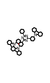 c1ccc(-c2nc(-c3ccc(-n4c5ccccc5c5ccc6c7ccccc7n(-c7ccccc7)c6c54)cc3)nc(-c3cccc(-n4c5ccccc5c5ccccc54)c3)n2)cc1